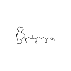 CCC(=O)CCCC(=O)NCCC(=O)N1Cc2ccccc2C#Cc2ccccc21